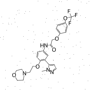 Cn1nccc1-c1cc(NC(=O)COc2ccc(OC(F)(F)F)cc2)ccc1OCCN1CCOCC1